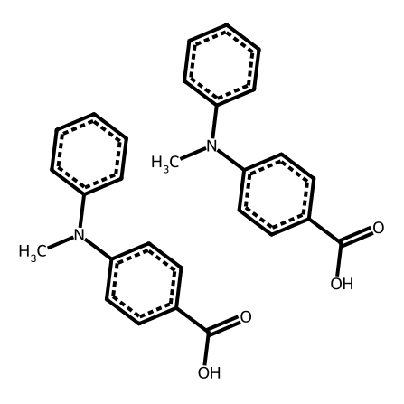 CN(c1ccccc1)c1ccc(C(=O)O)cc1.CN(c1ccccc1)c1ccc(C(=O)O)cc1